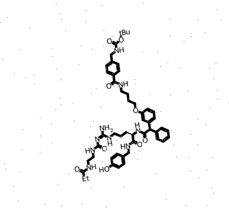 CCC(=O)NCCNC(=O)/N=C(/N)NCCC[C@@H](NC(=O)C(c1ccccc1)c1cccc(OCCCCNC(=O)c2ccc(CNC(=O)OC(C)(C)C)cc2)c1)C(=O)NCc1ccc(O)cc1